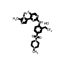 Cc1ncc(-c2nc(Nc3ccc(S(=O)(=O)N4CCN(C)CC4)cc3CC(F)(F)F)ncc2F)n1C(C)C.Cl